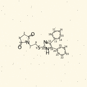 O=C1CCC(=O)N1CCSc1nc(-c2ccccc2)c(-c2ccccc2)[nH]1